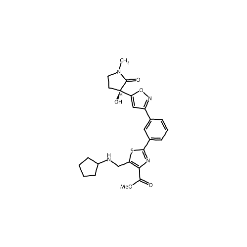 COC(=O)c1nc(-c2cccc(-c3cc([C@]4(O)CCN(C)C4=O)on3)c2)sc1CNC1CCCC1